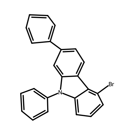 Brc1cccc2c1c1ccc(-c3ccccc3)cc1n2-c1ccccc1